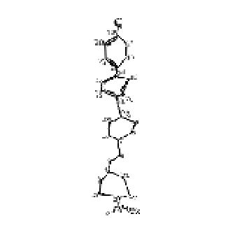 CCCCCCC1CCC(CCC2CCC(c3ccc(-c4ccc(Cl)cc4)cc3)CC2)CC1